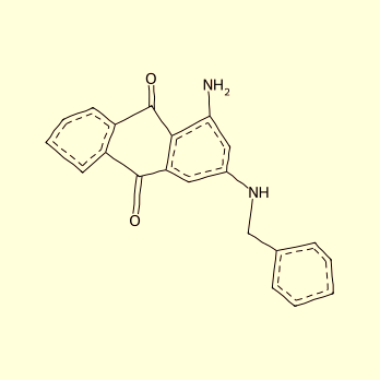 Nc1cc(NCc2ccccc2)cc2c1C(=O)c1ccccc1C2=O